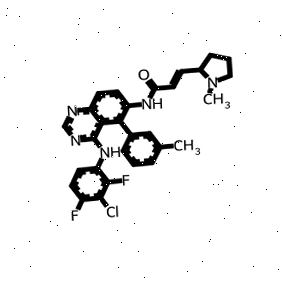 Cc1cccc(-c2c(NC(=O)C=CC3CCCN3C)ccc3ncnc(Nc4ccc(F)c(Cl)c4F)c23)c1